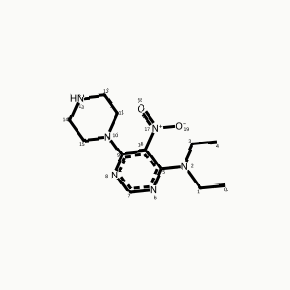 CCN(CC)c1ncnc(N2CCNCC2)c1[N+](=O)[O-]